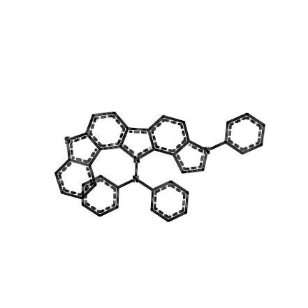 c1ccc(N(c2ccccc2)n2c3c(ccc4c3ccn4-c3ccccc3)c3ccc4sc5ccccc5c4c32)cc1